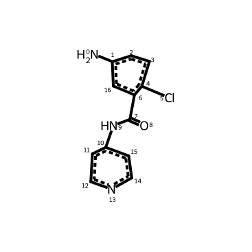 Nc1ccc(Cl)c(C(=O)Nc2ccncc2)c1